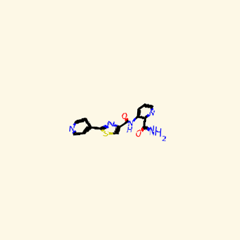 NC(=O)c1ncccc1NC(=O)c1csc(-c2ccncc2)n1